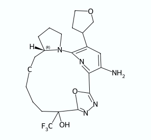 Nc1cc(C2CCOC2)c2nc1-c1nnc(o1)C(O)(C(F)(F)F)CCCCC[C@@H]1CCCN21